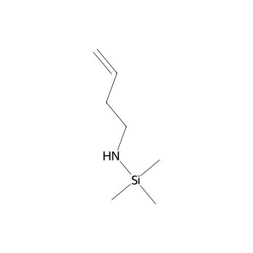 C=CCCN[Si](C)(C)C